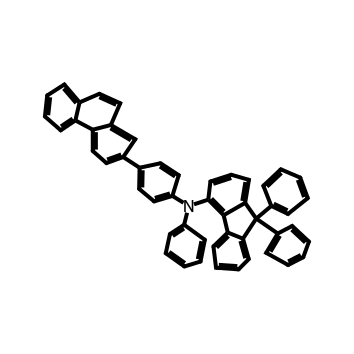 c1ccc(N(c2ccc(-c3ccc4c(ccc5ccccc54)c3)cc2)c2cccc3c2-c2ccccc2C3(c2ccccc2)c2ccccc2)cc1